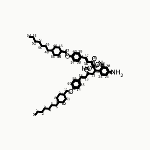 CCCCCCCC1CCC(COc2ccc(/C=C/C(=O)CC(c3ccc(N)cc3N)C(O)(O)C(=O)/C=C/c3ccc(OCC4CCC(CCCCCCC)CC4)cc3)cc2)CC1